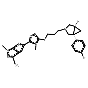 Cn1c(SCCCN2C[C@H]3C[C@@]3(c3ccc(Br)cc3)C2)nnc1-c1cc2c(C(F)(F)F)nn(C)c2s1